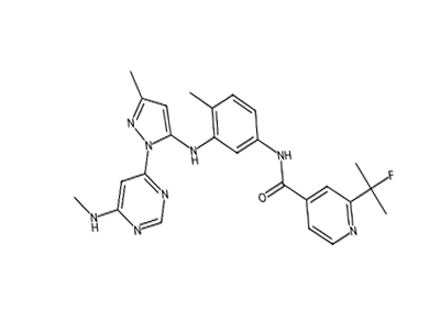 CNc1cc(-n2nc(C)cc2Nc2cc(NC(=O)c3ccnc(C(C)(C)F)c3)ccc2C)ncn1